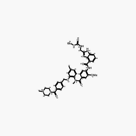 COc1cc(C(=O)N(C)c2ccc(C)cc2OCc2ccc(C(=O)N3CCN(C)CC3)cc2)ccc1NC(=O)c1cccc2[nH]c(CNC(=O)OC(C)(C)C)nc12